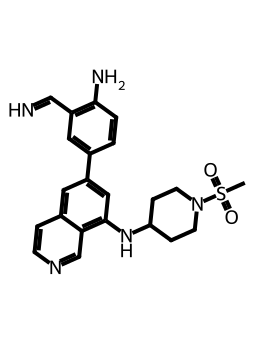 CS(=O)(=O)N1CCC(Nc2cc(-c3ccc(N)c(C=N)c3)cc3ccncc23)CC1